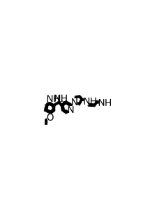 CCOc1ccc(N)c(C(=N)c2ccnc(N3CCC(N/C=C\C=N)C3)c2)c1